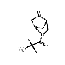 CC(C)(N)C(=O)N1CC2CC1CN2